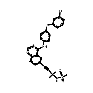 CC(C)(C#Cc1ccc2ncnc(Nc3ccc(Oc4cccc(Cl)c4)cc3)c2c1)NS(C)(=O)=O